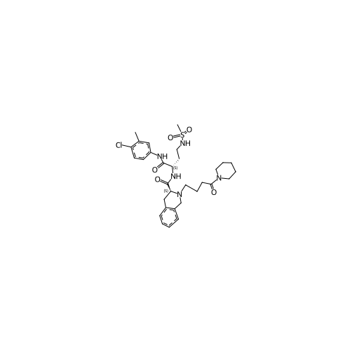 Cc1cc(NC(=O)[C@H](CCNS(C)(=O)=O)NC(=O)[C@@H]2Cc3ccccc3CN2CCCC(=O)N2CCCCC2)ccc1Cl